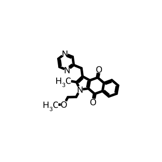 COCCn1c(C)c(Cc2cnccn2)c2c1C(=O)c1ccccc1C2=O